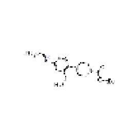 CCOC(=O)/C=C/c1cnc(N2CCN(C(=O)OC(C)(C)C)CC2)c(CO)c1